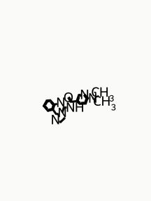 CN(C)c1ccc(C(=O)NC2=Nc3ccccc3C3=NCCN23)cn1